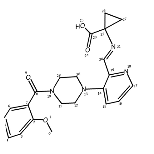 COc1ccccc1C(=O)N1CCN(c2cccnc2C=NC2(C(=O)O)CC2)CC1